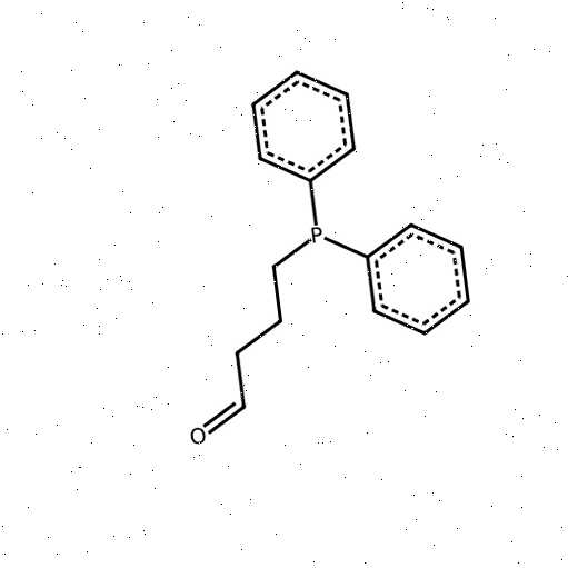 O=CCCCP(c1ccccc1)c1ccccc1